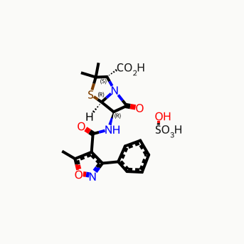 Cc1onc(-c2ccccc2)c1C(=O)N[C@@H]1C(=O)N2[C@@H]1SC(C)(C)[C@@H]2C(=O)O.O=S(=O)(O)O